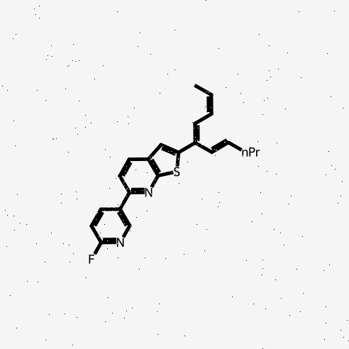 C\C=C/C=C(\C=C\CCC)c1cc2ccc(-c3ccc(F)nc3)nc2s1